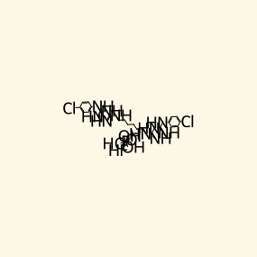 F.N=C(NCCCCCCNC(=N)NC(=N)Nc1ccc(Cl)cc1)NC(=N)Nc1ccc(Cl)cc1.O=P(O)(O)O